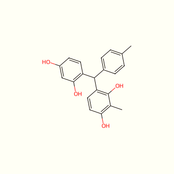 Cc1ccc(C(c2ccc(O)cc2O)c2ccc(O)c(C)c2O)cc1